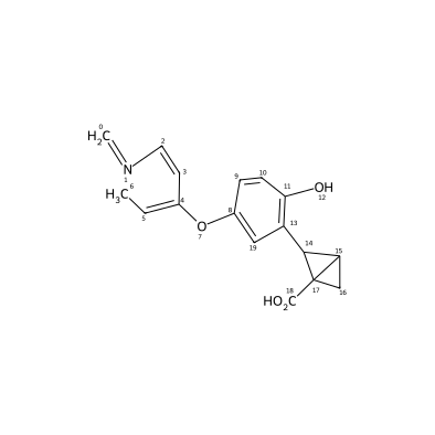 C=N/C=C\C(=C/C)Oc1ccc(O)c(C2C3CC32C(=O)O)c1